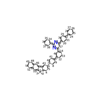 CC1(C)c2ccc(-c3ccc(-c4cccc(-c5cc(-c6ccc(-c7ccccc7)cc6)nc(-c6ccccc6)n5)c4)cc3)cc2-c2cc3ccccc3cc21